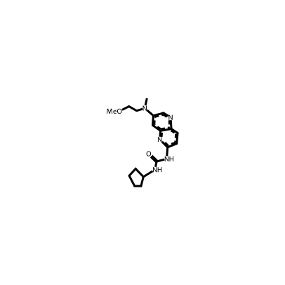 COCCN(C)c1cnc2ccc(NC(=O)NC3CCCC3)nc2c1